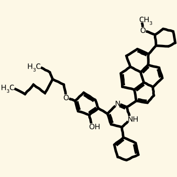 CCCCC(CC)COc1ccc(C2=CC(C3=CCCC=C3)NC(C3=CCC4C=CC5=C6C4=C3C=CC6CC=C5C3CCCCC3OC)=N2)c(O)c1